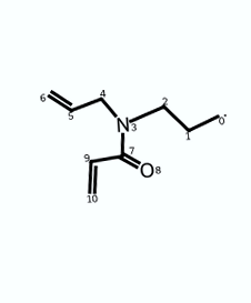 [CH2]CCN(CC=C)C(=O)C=C